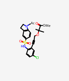 COC(=O)C(C)(C)OCC#Cc1cc(Cl)ccc1NS(=O)(=O)c1ccc2c(c1)CCN2C(C)=O